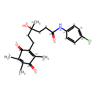 CC1=C(C)C(=O)C(CCC(C)(O)CCC(=O)Nc2ccc(Cl)cc2)=C(C)C1=O